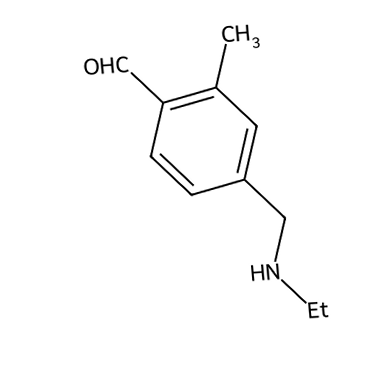 CCNCc1ccc(C=O)c(C)c1